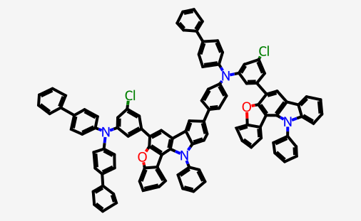 Clc1cc(-c2cc3c4ccccc4n(-c4ccccc4)c3c3c2oc2ccccc23)cc(N(c2ccc(-c3ccccc3)cc2)c2ccc(-c3ccc4c(c3)c3cc(-c5cc(Cl)cc(N(c6ccc(-c7ccccc7)cc6)c6ccc(-c7ccccc7)cc6)c5)c5oc6ccccc6c5c3n4-c3ccccc3)cc2)c1